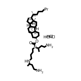 CC(C)CCC[C@@H](C)[C@H]1CC[C@H]2[C@@H]3CC=C4C[C@@H](OC(=O)N(CCCCNC(C)CCN)C(C)CCN)CC[C@]4(C)[C@H]3CC[C@]12C.Cl.Cl.Cl